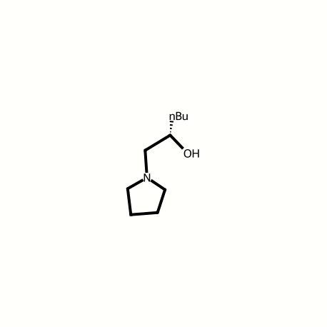 CCCC[C@H](O)CN1CCCC1